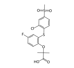 CC(C)(Oc1ccc(F)cc1Sc1ccc(S(C)(=O)=O)cc1Cl)C(=O)O